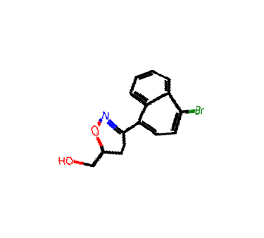 OCC1CC(c2ccc(Br)c3ccccc23)=NO1